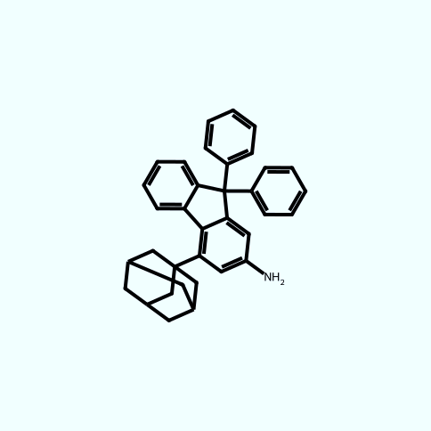 Nc1cc(C23CC4CC(CC(C4)C2)C3)c2c(c1)C(c1ccccc1)(c1ccccc1)c1ccccc1-2